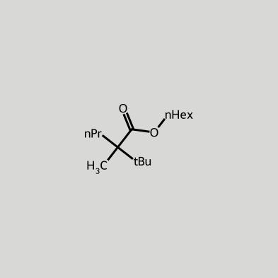 CCCCCCOC(=O)C(C)(CCC)C(C)(C)C